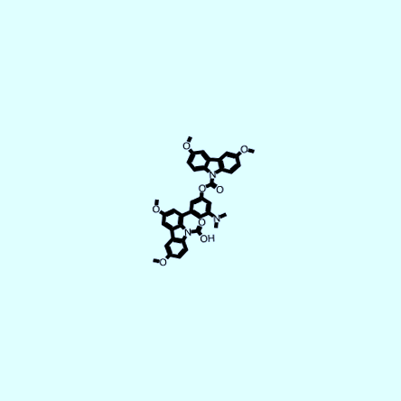 COc1ccc2c(c1)c1cc(OC)ccc1n2C(=O)Oc1cc(-c2cc(OC)cc3c4cc(OC)ccc4n(C(=O)O)c23)cc(N(C)C)c1